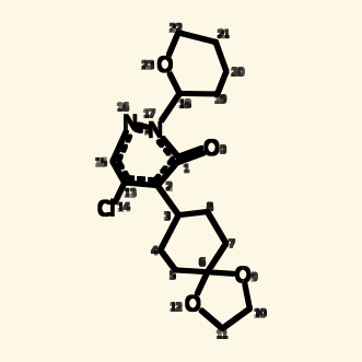 O=c1c(C2CCC3(CC2)OCCO3)c(Cl)cnn1C1CCCCO1